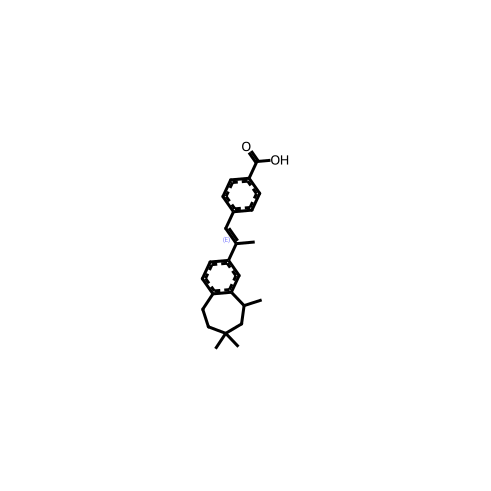 C/C(=C\c1ccc(C(=O)O)cc1)c1ccc2c(c1)C(C)CC(C)(C)CC2